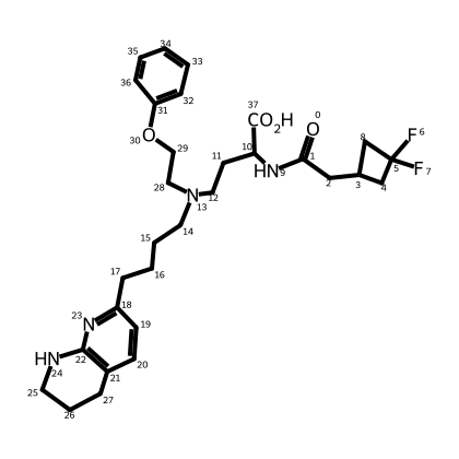 O=C(CC1CC(F)(F)C1)NC(CCN(CCCCc1ccc2c(n1)NCCC2)CCOc1ccccc1)C(=O)O